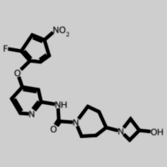 O=C(Nc1cc(Oc2ccc([N+](=O)[O-])cc2F)ccn1)N1CCC(N2CC(O)C2)CC1